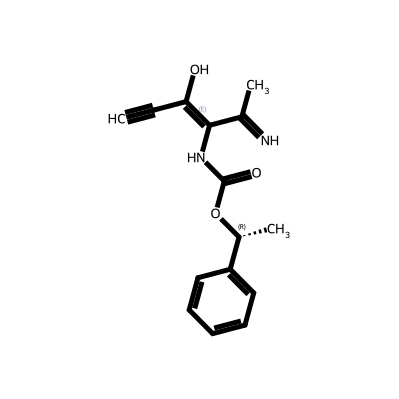 C#C/C(O)=C(\NC(=O)O[C@H](C)c1ccccc1)C(C)=N